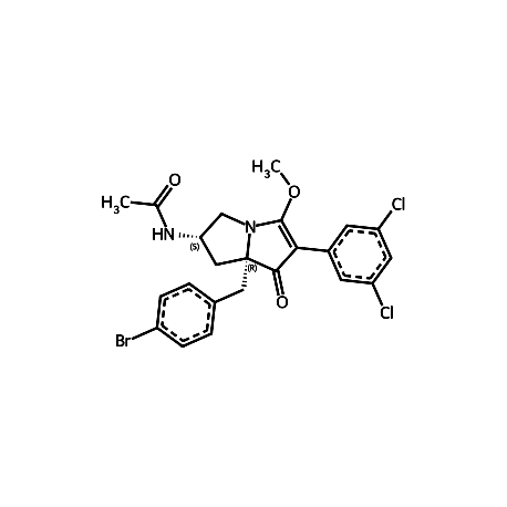 COC1=C(c2cc(Cl)cc(Cl)c2)C(=O)[C@@]2(Cc3ccc(Br)cc3)C[C@H](NC(C)=O)CN12